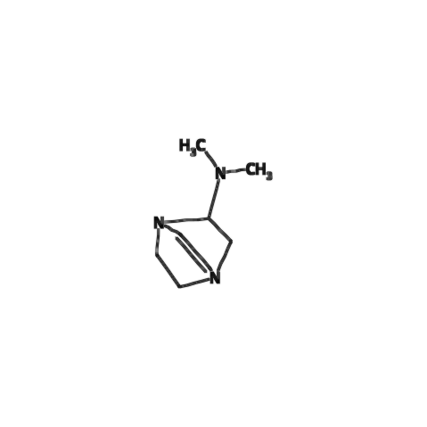 CN(C)C1CN2C=CN1CC2